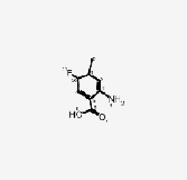 CC1C=C(N)C(C(=O)O)=CC1F